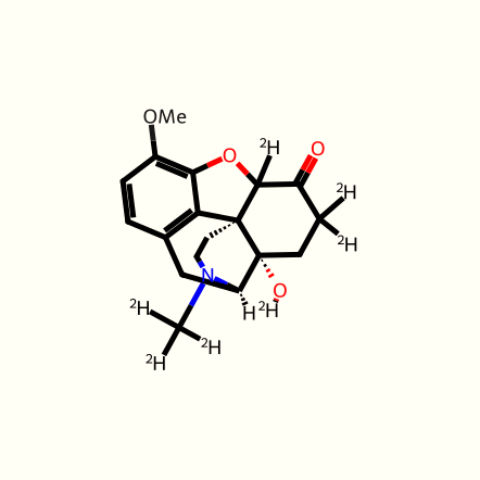 [2H]O[C@@]12CC([2H])([2H])C(=O)C3([2H])Oc4c(OC)ccc5c4[C@@]31CCN(C([2H])([2H])[2H])[C@@H]2C5